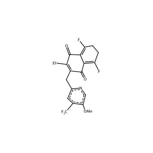 CCC1=C(Cc2cc(C(F)(F)F)c(OC)cn2)C(=O)C2=C(F)CCC(F)=C2C1=O